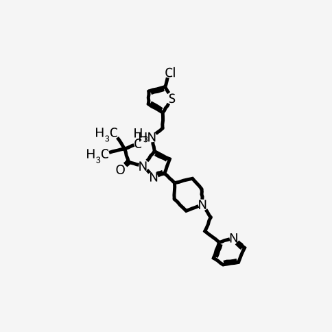 CC(C)(C)C(=O)n1nc(C2CCN(CCc3ccccn3)CC2)cc1NCc1ccc(Cl)s1